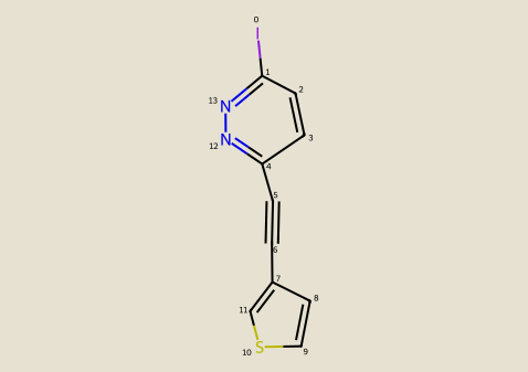 Ic1ccc(C#Cc2ccsc2)nn1